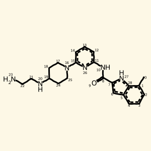 Cc1cccc2cc(C(=O)Nc3cccc(N4CCC(NCCN)CC4)n3)[nH]c12